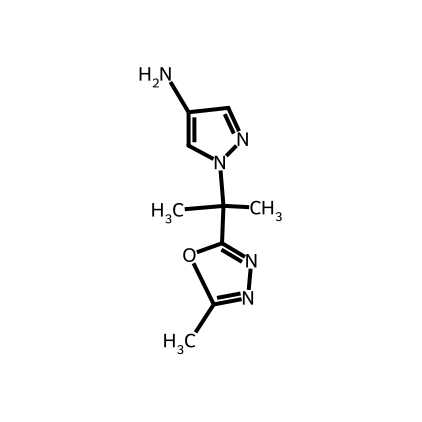 Cc1nnc(C(C)(C)n2cc(N)cn2)o1